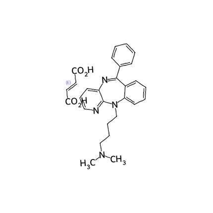 CN(C)CCCCN1c2ccccc2C(c2ccccc2)=Nc2cccnc21.O=C(O)/C=C/C(=O)O